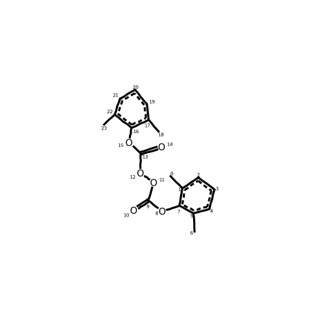 Cc1cccc(C)c1OC(=O)OOC(=O)Oc1c(C)cccc1C